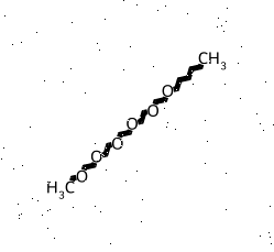 CCCCCCOCCOCCOCCOCCOCCOCC